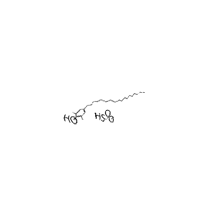 CCCCCCCCCCCCCCCCCCc1cc(C)c(O)c(C)c1.COC(=O)CS